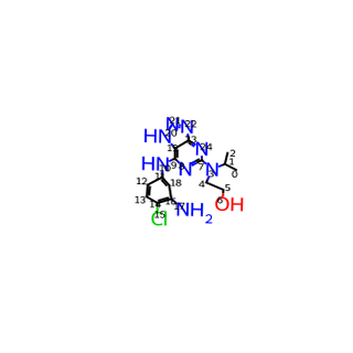 CC(C)N(CCO)c1nc(Nc2ccc(Cl)c(N)c2)c2[nH]nnc2n1